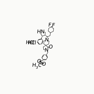 CS(=O)(=O)c1ccc(CN2CCC3(CCN(C(CC4CCC(F)(F)CC4)[C@@H]4CNC[C@@H]4c4ccccc4)CC3)C2=O)cc1.Cl.Cl